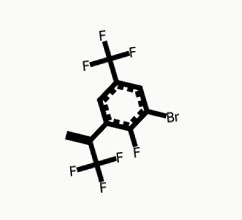 C=C(c1cc(C(F)(F)F)cc(Br)c1F)C(F)(F)F